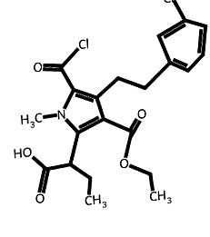 CCOC(=O)c1c(CCc2cccc(Cl)c2)c(C(=O)Cl)n(C)c1C(CC)C(=O)O